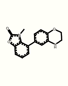 Cn1c(=O)oc2c[c]cc(-c3ccc4c(c3)NCCO4)c21